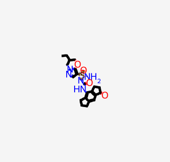 CCC1COc2c([S@@](N)(=O)=NC(=O)Nc3c4c(cc5c3CCC5=O)CCC4)cnn2C1